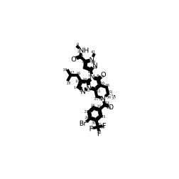 CNC(=O)c1cc(-n2c(=O)c3c(n4ncc(CC(C)C)c24)CN(C(=O)c2ccc(Br)c(C(F)(F)F)c2)[C@@H](C)C3)nn1C